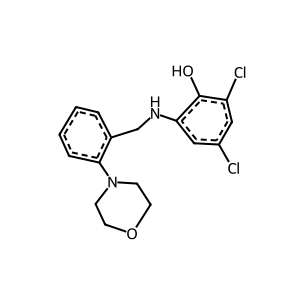 Oc1c(Cl)cc(Cl)cc1NCc1ccccc1N1CCOCC1